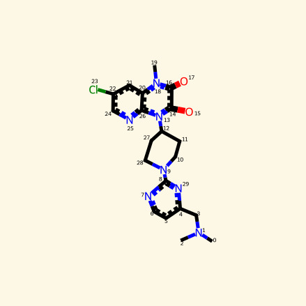 CN(C)Cc1ccnc(N2CCC(n3c(=O)c(=O)n(C)c4cc(Cl)cnc43)CC2)n1